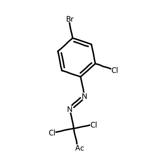 CC(=O)C(Cl)(Cl)N=Nc1ccc(Br)cc1Cl